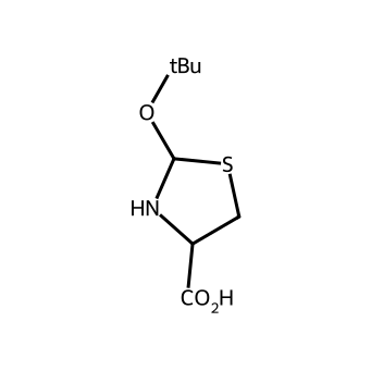 CC(C)(C)OC1NC(C(=O)O)CS1